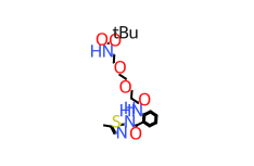 Cc1cnc(NC(=O)c2ccccc2NC(=O)CCOCCOCCNC(=O)OC(C)(C)C)s1